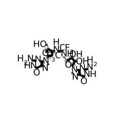 Nc1nc2c(ncn2[C@@H]2O[C@H](CNC(N[C@H]3C[C@H](n4cnc5c(=O)[nH]c(N)nc54)O[C@@H]3CO)(C(F)(F)F)C(F)(F)F)[C@@H](O)[C@H]2O)c(=O)[nH]1